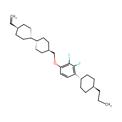 C=C[C@H]1CC[C@H]([C@H]2CC[C@H](COc3ccc([C@H]4CC[C@H](CCC)CC4)c(F)c3F)CC2)CC1